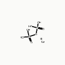 O=P(O)(O)OP(=O)(O)O.[Cu].[KH]